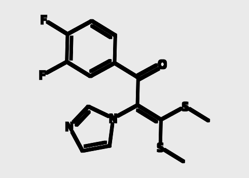 CSC(SC)=C(C(=O)c1ccc(F)c(F)c1)n1ccnc1